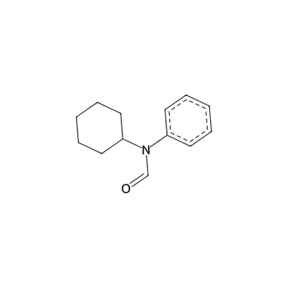 O=CN(c1ccccc1)C1CCCCC1